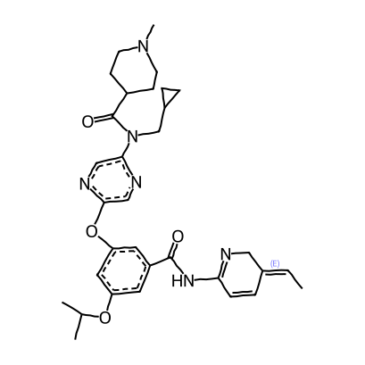 C/C=C1\C=CC(NC(=O)c2cc(Oc3cnc(N(CC4CC4)C(=O)C4CCN(C)CC4)cn3)cc(OC(C)C)c2)=NC1